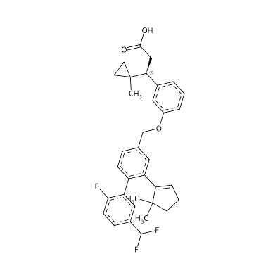 CC1(C)CCC=C1c1cc(COc2cccc([C@H](CC(=O)O)C3(C)CC3)c2)ccc1-c1cc(C(F)F)ccc1F